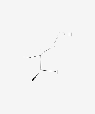 C[C@H](F)[C@@](C)(F)OC(=O)O